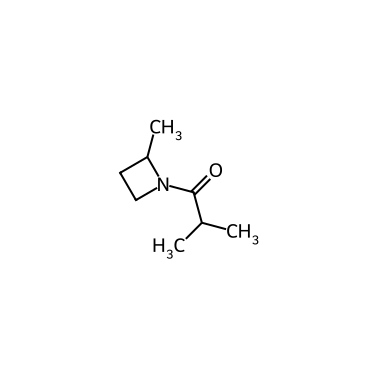 CC(C)C(=O)N1CCC1C